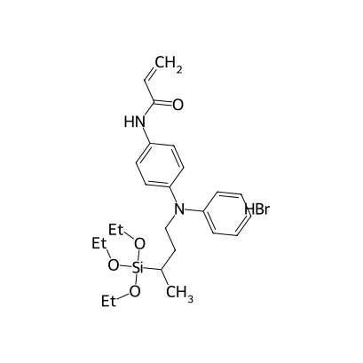 Br.C=CC(=O)Nc1ccc(N(CCC(C)[Si](OCC)(OCC)OCC)c2ccccc2)cc1